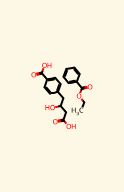 CCOC(=O)c1ccccc1.O=C(O)CC(O)Cc1ccc(C(=O)O)cc1